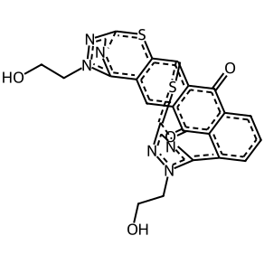 O=c1c2cc3c(sc4nc3n(CCO)n4)c3sc4nc(c5cccc(c(=O)c23)c15)n(CCO)n4